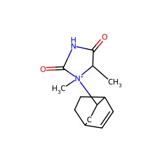 CC1C(=O)NC(=O)[N+]1(C)C1CC2C=CC1CC2